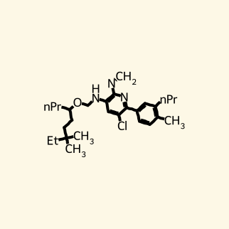 C=Nc1nc(-c2ccc(C)c(CCC)c2)c(Cl)cc1NCOC(CCC)CCC(C)(C)CC